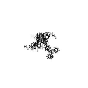 CC1CC2OB(C(Cc3cccc(C(=O)OC(C)(C)C)c3OC(=O)OC(C)(C)C)NC(=O)c3ccc(CN(Cc4ccccn4)Cc4ccccn4)nc3)OC2(C)C(C)C1(C)C